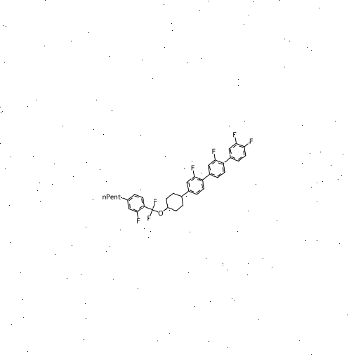 CCCCCc1ccc(C(F)(F)OC2CCC(c3ccc(-c4ccc(-c5ccc(F)c(F)c5)c(F)c4)c(F)c3)CC2)c(F)c1